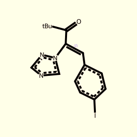 CC(C)(C)C(=O)/C(=C/c1ccc(I)cc1)n1cncn1